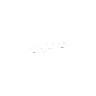 CNc1nc(-c2cccnc2)nc2c(F)cc(-c3cc(F)ccc3Cl)cc12